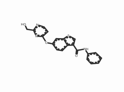 O=C(Nc1ccccc1)c1csc2cc(Oc3ccnc(CO)n3)ccc12